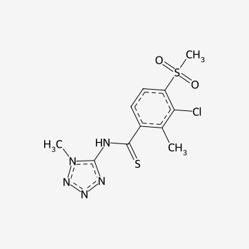 Cc1c(C(=S)Nc2nnnn2C)ccc(S(C)(=O)=O)c1Cl